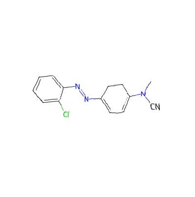 CN(C#N)C1=CC=C(N=Nc2ccccc2Cl)CC1